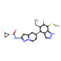 CCc1c(F)c(SC)c2[nH]ncc2c1-c1ccn2nc(NC(=O)[C@@H]3C[C@@H]3F)cc2c1